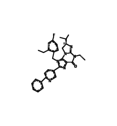 CCc1cc(F)ccc1Cn1c(-c2ccc(-c3ccccc3)nc2)nc2c1N1C[C@@H](C(C)C)N=C1N(CC)C2=O